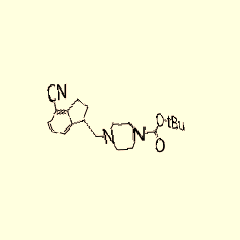 CC(C)(C)OC(=O)N1CCN(CC2CCc3c(C#N)cccc32)CC1